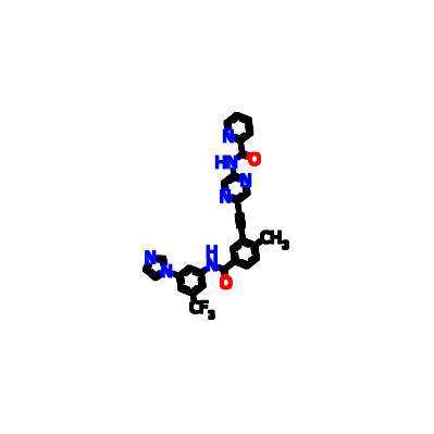 Cc1ccc(C(=O)Nc2cc(-n3ccnc3)cc(C(F)(F)F)c2)cc1C#Cc1cnc(NC(=O)c2ccccn2)cn1